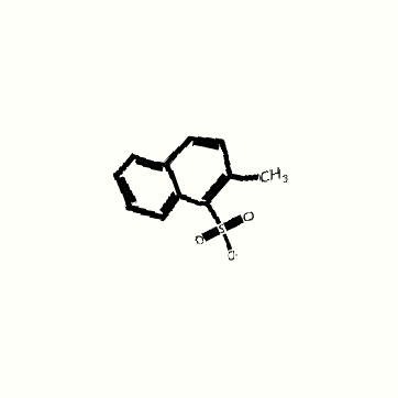 Cc1ccc2ccccc2c1S([O])(=O)=O